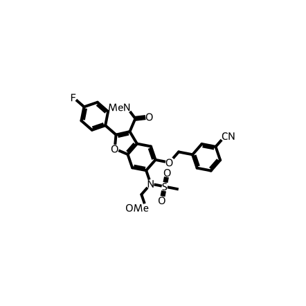 CNC(=O)c1c(-c2ccc(F)cc2)oc2cc(N(COC)S(C)(=O)=O)c(OCc3cccc(C#N)c3)cc12